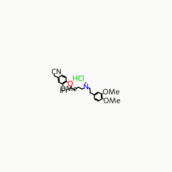 COc1ccc(CCN(C)CCCC(Oc2ccc(CC#N)cc2OC)C(C)C)cc1OC.Cl